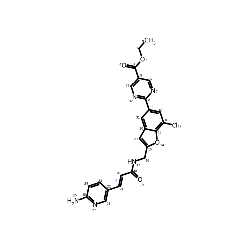 CCOC(=O)c1cnc(-c2cc(Cl)c3oc(CNC(=O)/C=C/c4ccc(N)nc4)cc3c2)nc1